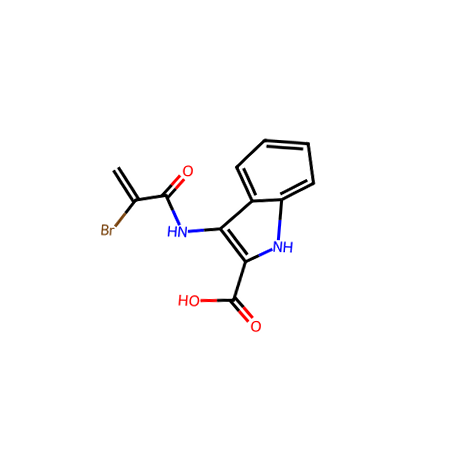 C=C(Br)C(=O)Nc1c(C(=O)O)[nH]c2ccccc12